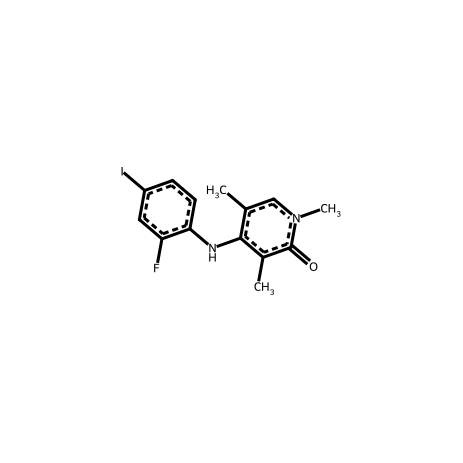 Cc1cn(C)c(=O)c(C)c1Nc1ccc(I)cc1F